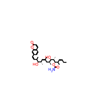 CC/C=C\C(C)[C@H](OC(N)=O)[C@@H](C)[C@H](O)[C@@H](C)C/C(C)=C\[C@H](C)[C@@H](O)C(C)/C=C\c1ccc2ccc(=O)oc2c1